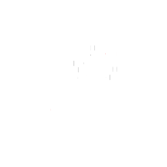 CC(C)(O)C(C)(C)OBc1cc2c(cc1F)OCCC2